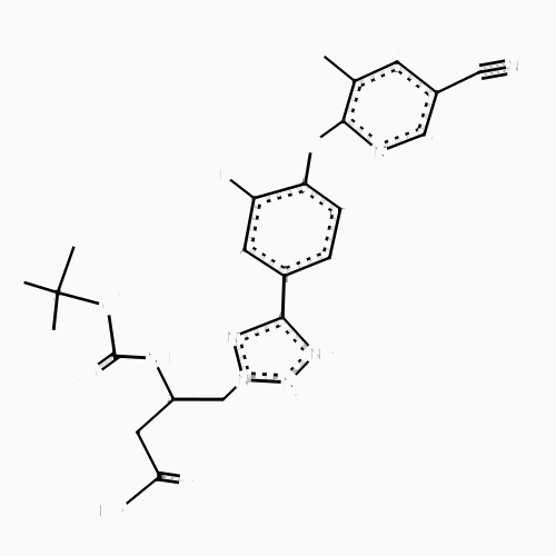 CC(C)(C)OC(=O)NC(CC(=O)O)Cn1nnc(-c2ccc(Oc3ncc(C#N)cc3F)c(F)c2)n1